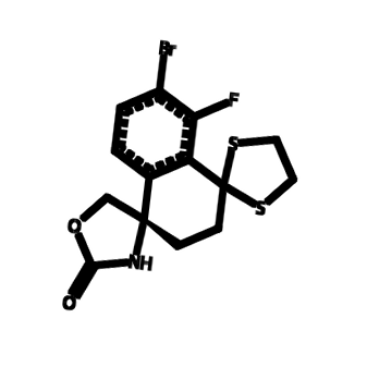 O=C1N[C@]2(CCC3(SCCS3)c3c2ccc(Br)c3F)CO1